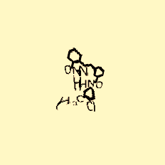 Cc1cc(NC(=O)c2cccc(Cc3n[nH]c(=O)c4c3CCCC4)c2)ccc1Cl